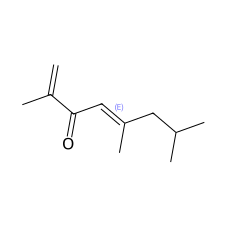 C=C(C)C(=O)/C=C(\C)CC(C)C